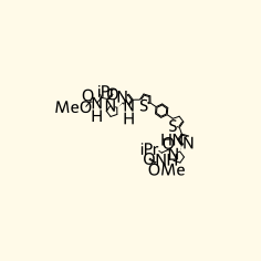 COC(=O)NC(C(=O)N1CCC[C@H]1c1ncc(-c2ccc(-c3ccc(C4CC=C(c5cnc([C@@H]6CCCN6C(=O)[C@@H](NC(=O)OC)C(C)C)[nH]5)S4)cc3)s2)[nH]1)C(C)C